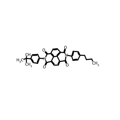 CCCCc1ccc(N2C(=O)c3ccc4c5c(ccc(c35)C2=O)C(=O)N(c2ccc(C(C)(C)C)cc2)C4=O)cc1